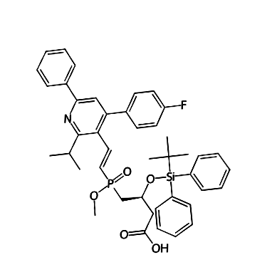 COP(=O)(C=Cc1c(-c2ccc(F)cc2)cc(-c2ccccc2)nc1C(C)C)C[C@H](CC(=O)O)O[Si](c1ccccc1)(c1ccccc1)C(C)(C)C